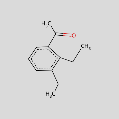 CCc1cccc(C(C)=O)c1CC